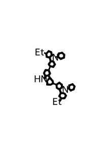 CCc1ccc2c(c1)c1cc(-c3ccc4[nH]c5ccc(-c6ccc7c(c6)c6cc(CC)ccc6n7-c6ccccc6)cc5c4c3)ccc1n2-c1ccccc1